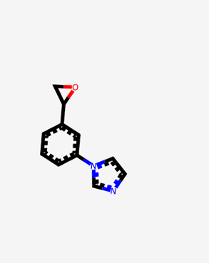 c1cc(C2CO2)cc(-n2ccnc2)c1